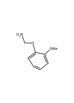 COc1ccccc1OC[N+](=O)[O-]